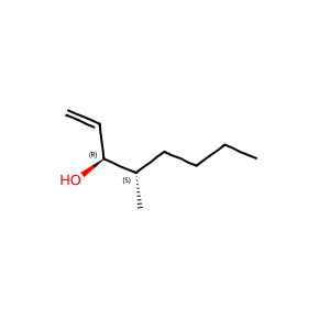 C=C[C@H](O)[C@@H](C)CCCC